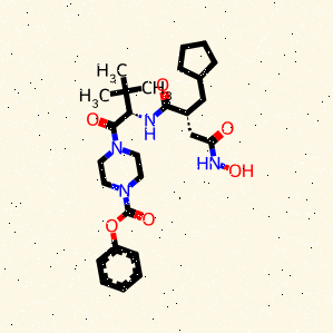 CC(C)(C)[C@H](NC(=O)[C@@H](CC(=O)NO)CC1CCCC1)C(=O)N1CCN(C(=O)Oc2ccccc2)CC1